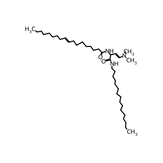 CCCCCCCC/C=C/CCCCCCCC(=O)NC(/C=C/N(C)C)C(=O)NCCCCCCCCCCCCCCCC